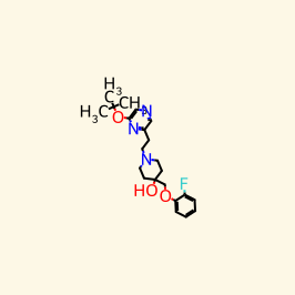 CC(C)(C)Oc1cncc(CCN2CCC(O)(COc3ccccc3F)CC2)n1